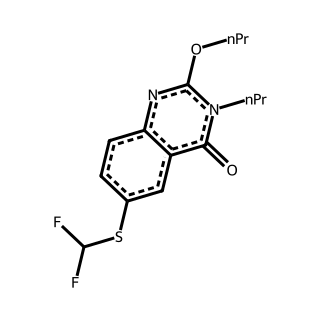 CCCOc1nc2ccc(SC(F)F)cc2c(=O)n1CCC